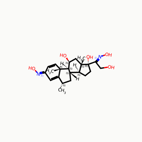 C[C@H]1C[C@@H]2[C@H]([C@@H](O)C[C@@]3(C)[C@H]2CC[C@]3(O)/C(CO)=N/O)[C@@]2(C)C=C/C(=N\O)C=C12